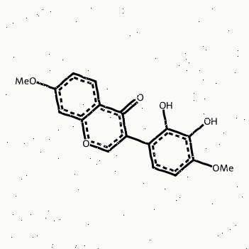 COc1ccc2c(=O)c(-c3ccc(OC)c(O)c3O)coc2c1